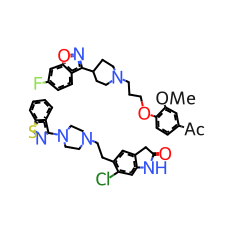 COc1cc(C(C)=O)ccc1OCCCN1CCC(c2noc3cc(F)ccc23)CC1.O=C1Cc2cc(CCN3CCN(c4nsc5ccccc45)CC3)c(Cl)cc2N1